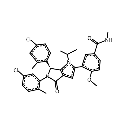 CNC(=O)c1ccc(OC)c(-c2cc3c(n2C(C)C)[C@H](c2ccc(Cl)cc2C)N(c2cc(Cl)ccc2C)C3=O)c1